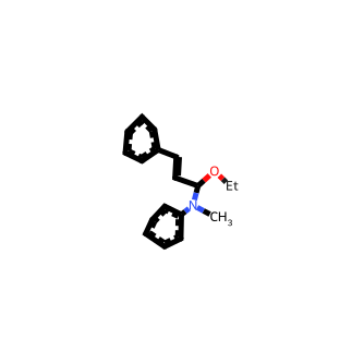 CCOC(C=Cc1ccccc1)N(C)c1ccccc1